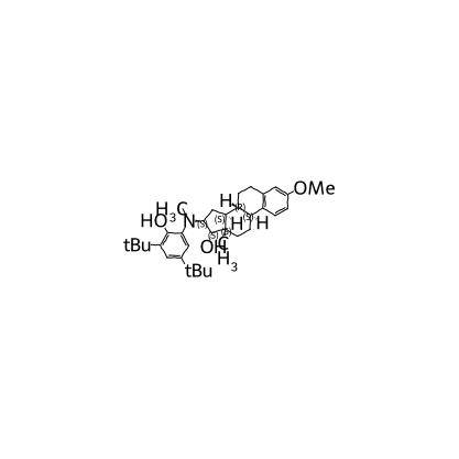 COc1ccc2c(c1)CC[C@@H]1[C@@H]2CC[C@]2(C)[C@H](O)[C@@H](N(C)c3cc(C(C)(C)C)cc(C(C)(C)C)c3O)C[C@@H]12